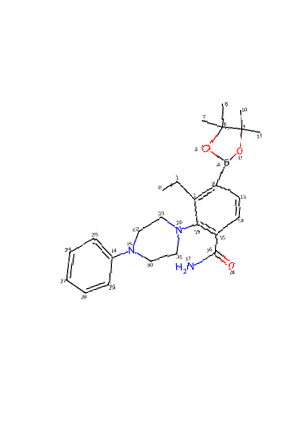 CCc1c(B2OC(C)(C)C(C)(C)O2)ccc(C(N)=O)c1N1CCN(c2ccccc2)CC1